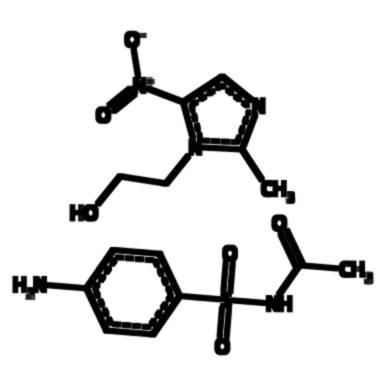 CC(=O)NS(=O)(=O)c1ccc(N)cc1.Cc1ncc([N+](=O)[O-])n1CCO